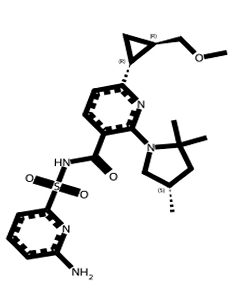 COC[C@@H]1C[C@H]1c1ccc(C(=O)NS(=O)(=O)c2cccc(N)n2)c(N2C[C@@H](C)CC2(C)C)n1